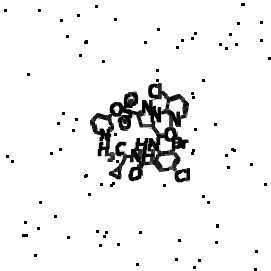 CC(NC(=O)c1cc(Cl)cc(Br)c1NC(=O)C1CC(S(=O)(=O)Oc2cccnc2)=NN1c1ncccc1Cl)C1CC1